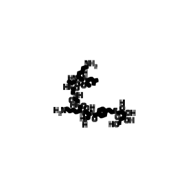 CC(=O)C(CC(C)C)NC(=O)C(CCCCN)NC(=O)C(C)NC(=O)CNC(=O)CNC(=O)C(CCCCN)NC(=O)C(CS)NC(=O)c1ccc(CCS[C@@H]2O[C@H](CO)[C@H](O)[C@H](O)[C@H]2O)cc1